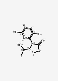 C[C@@H](O)[C@H]1COC(=O)N1c1nc(F)ncc1F